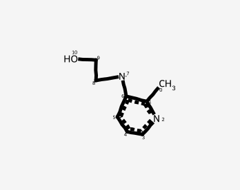 Cc1ncccc1[N]CCO